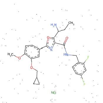 CCC(N)c1oc(-c2ccc(OC)c(OCC3CC3)c2)nc1C(=O)NCc1ccc(F)cc1F.Cl